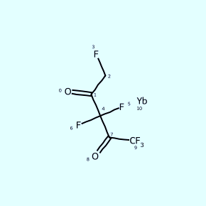 O=C(CF)C(F)(F)C(=O)C(F)(F)F.[Yb]